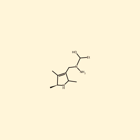 CCC(O)N(N)CC1=C(C)[C@H](C)NC1C